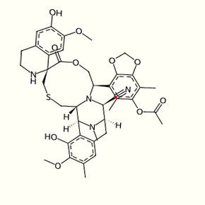 COc1cc2c(cc1O)CCN[C@]21CSC[C@H]2[C@@H]3c4c(cc(C)c(OC)c4O)C[C@H]([C@H](C#N)N2[C@H](c2c(C)c(OC(C)=O)c(C)c4c2OCO4)COC1=O)N3C